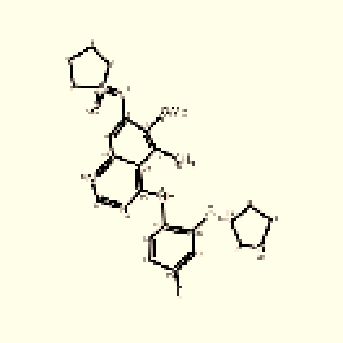 COc1c(N=S2(=O)CCCC2)cc2ncnc(Nc3ccc(F)cc3O[C@@H]3CCOC3)c2c1C